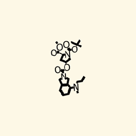 C=CCN(C)c1cccc2c1CN(C(=O)O[C@@H]1C[C@@H](C(=O)OC)N(C(=O)OC(C)(C)C)C1)C2